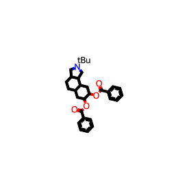 CC(C)(C)N1CC2CCC3CC(OC(=O)c4ccccc4)C(OC(=O)c4ccccc4)CC3C2C1